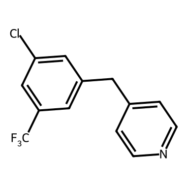 FC(F)(F)c1cc(Cl)cc(Cc2ccncc2)c1